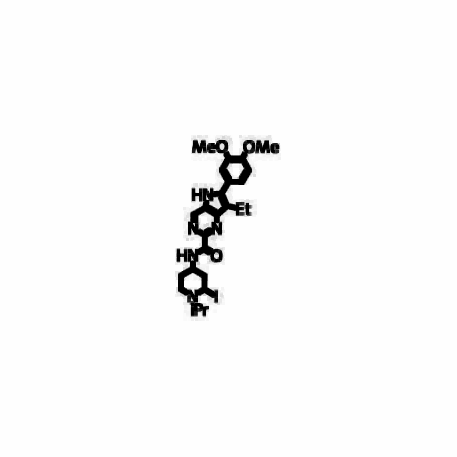 CCc1c(-c2ccc(OC)c(OC)c2)[nH]c2cnc(C(=O)NC3CCN(C(C)C)C(I)C3)nc12